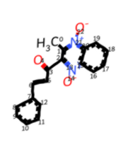 Cc1c(C(=O)/C=C/c2ccccc2)[n+]([O-])c2ccccc2[n+]1[O-]